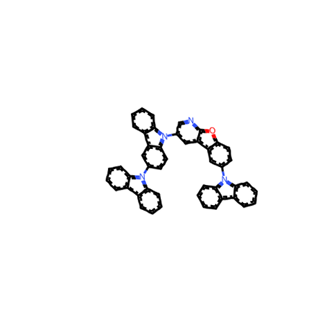 c1ccc2c(c1)c1ccccc1n2-c1ccc2oc3ncc(-n4c5ccccc5c5cc(-n6c7ccccc7c7ccccc76)ccc54)cc3c2c1